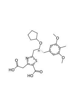 COc1cc(C[C@H](Cc2nc(CC(=O)O)c(C(=O)O)s2)OC2CCCC2)cc(OC)c1C